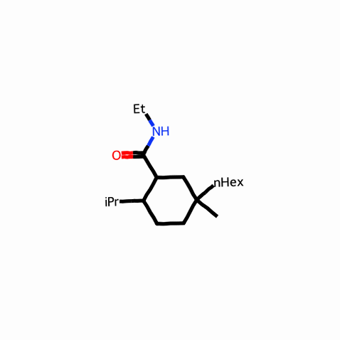 CCCCCCC1(C)CCC(C(C)C)C(C(=O)NCC)C1